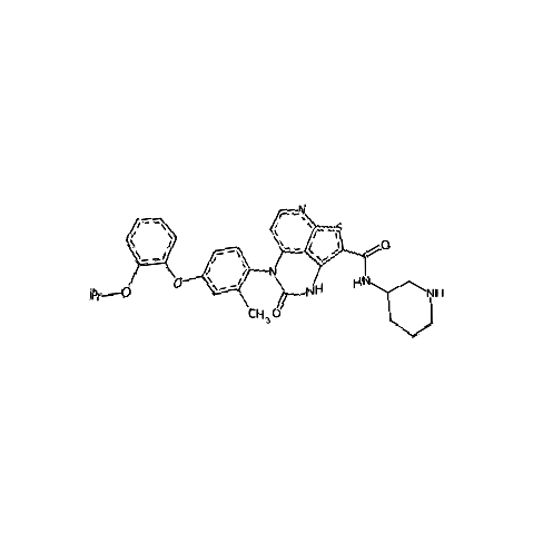 Cc1cc(Oc2ccccc2OC(C)C)ccc1N1C(=O)Nc2c(C(=O)NC3CCCNC3)sc3nccc1c23